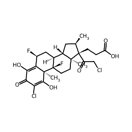 C[C@@H]1C[C@H]2[C@@H]3C[C@H](F)C4=C(O)C(=O)C(Cl)=C(O)[C@]4(C)[C@@]3(F)CC[C@]2(C)[C@@]1(CCC(=O)O)C(=O)CCl